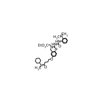 CCOC(=O)CN1Cc2cc(OCCCC(=O)N(C)C3CCCCC3)ccc2N=C1NC(=O)Nc1ccccc1N(C)C